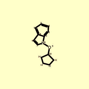 c1ccc2c(c1)ccn2OC1CCCC1